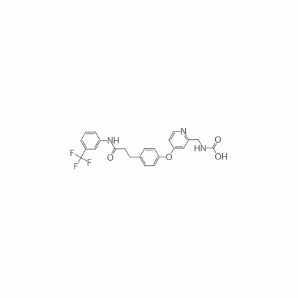 O=C(O)NCc1cc(Oc2ccc(CCC(=O)Nc3cccc(C(F)(F)F)c3)cc2)ccn1